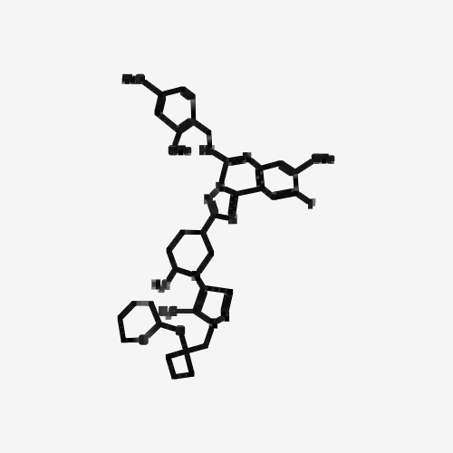 COc1ccc(CNc2nc3cc(OC)c(F)cc3c3nc(C4CCC(C)N(c5cnn(CC6(OC7CCCCO7)CCC6)c5C)C4)nn23)c(OC)c1